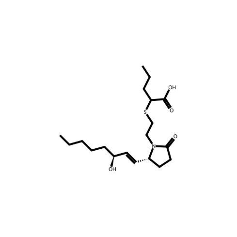 CCCCC[C@H](O)/C=C/[C@H]1CCC(=O)N1CCSC(CCC)C(=O)O